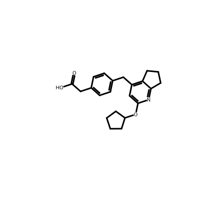 O=C(O)Cc1ccc(Cc2cc(OC3CCCC3)nc3c2CCC3)cc1